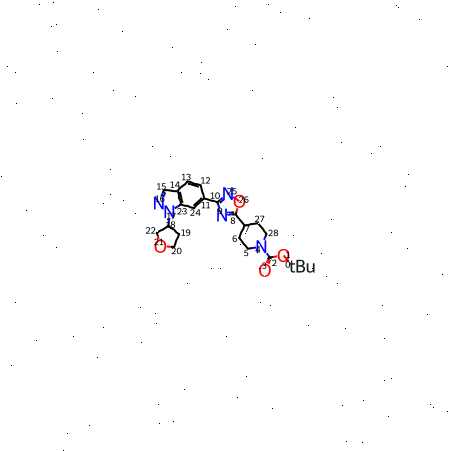 CC(C)(C)OC(=O)N1CCC(c2nc(-c3ccc4cnn(C5CCOC5)c4c3)no2)CC1